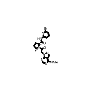 CNc1ncnc2c1cnn2CC(=O)N1[C@H](C)CC[C@H]1C(=O)Nc1cccc(Br)n1